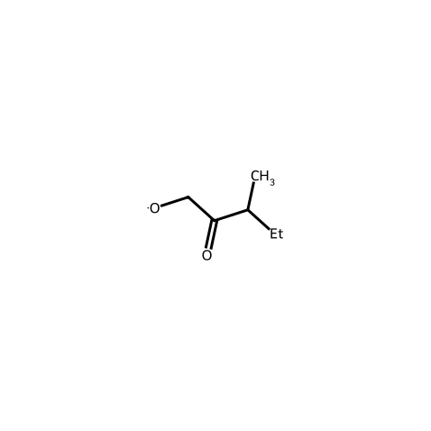 CCC(C)C(=O)C[O]